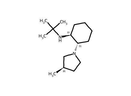 C[C@@H]1CCN([C@H]2CCCC[C@@H]2NC(C)(C)C)C1